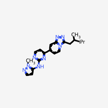 CC(C)C(C)Cc1nnc2cc(-c3ccnc(Nc4ccnn4C)n3)ccn12